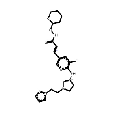 O=C(/C=C/c1cnc(N[C@@H]2CCN(CCn3cccn3)C2)c(F)c1)NOC1CCCCO1